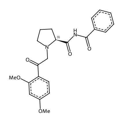 COc1ccc(C(=O)CN2CCC[C@H]2C(=O)NC(=O)c2ccccc2)c(OC)c1